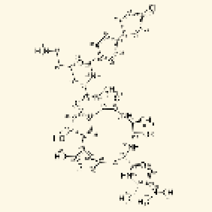 C[C@@H]1NC(=O)[C@@H](N(C)C(=O)[C@H](CCCCN)NC(=O)c2ccc(-c3ccc(Cl)cc3)cc2)c2ccc(O)c(c2)-c2cc(ccc2O)C[C@@H](C(=O)N[C@@H](C)C(=O)N(C)C)NC1=O